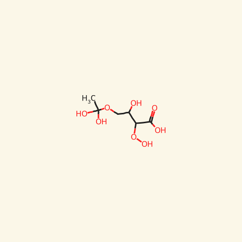 CC(O)(O)OCC(O)C(OO)C(=O)O